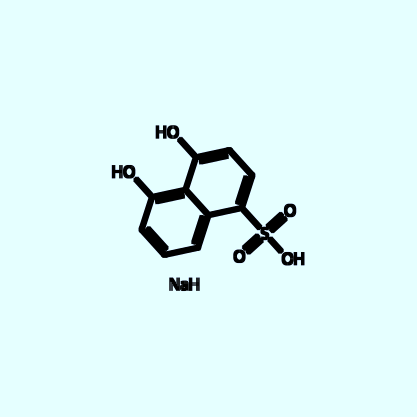 O=S(=O)(O)c1ccc(O)c2c(O)cccc12.[NaH]